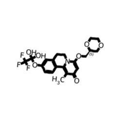 Cc1c2n(c(OC[C@@H]3COCCO3)cc1=O)CCc1cc(OC(O)(O)C(F)(F)F)ccc1-2